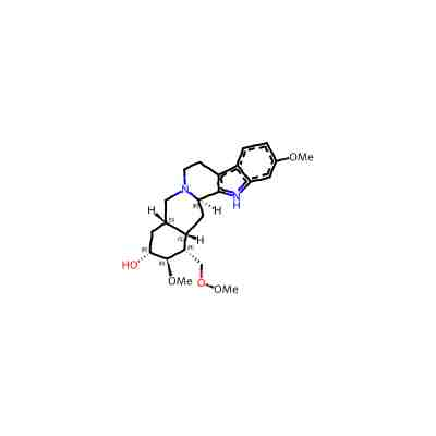 COOC[C@H]1[C@H]2C[C@@H]3c4[nH]c5cc(OC)ccc5c4CCN3C[C@H]2C[C@@H](O)[C@@H]1OC